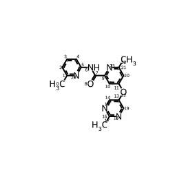 Cc1cccc(NC(=O)c2cc(Oc3cnc(C)nc3)cc(C)n2)n1